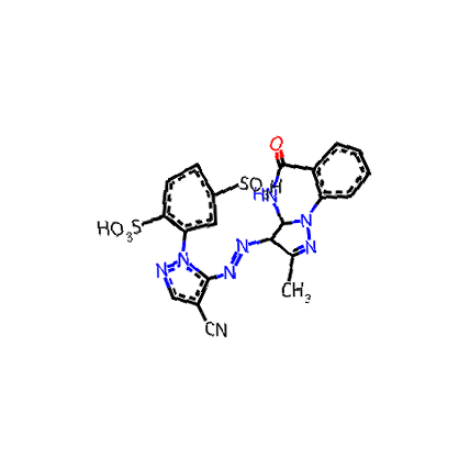 CC1=NN2c3ccccc3C(=O)NC2C1/N=N/c1c(C#N)cnn1-c1cc(S(=O)(=O)O)ccc1S(=O)(=O)O